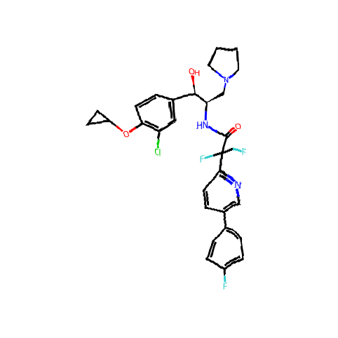 O=C(N[C@H](CN1CCCC1)[C@H](O)c1ccc(OC2CC2)c(Cl)c1)C(F)(F)c1ccc(-c2ccc(F)cc2)cn1